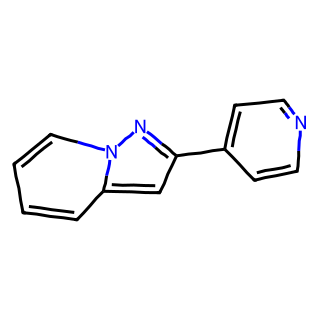 c1ccn2nc(-c3ccncc3)cc2c1